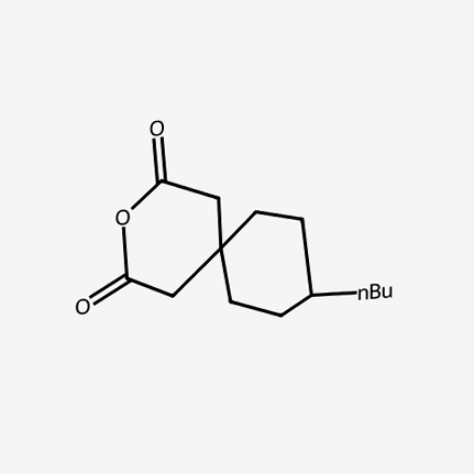 CCCCC1CCC2(CC1)CC(=O)OC(=O)C2